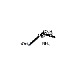 C=CCOCC(O)COC(=O)C(CC(=O)OCCCCCCCC/C=C\CCCCCCCC)S(=O)(=O)O.N